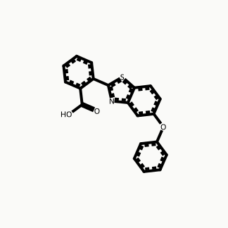 O=C(O)c1ccccc1-c1nc2cc(Oc3ccccc3)ccc2s1